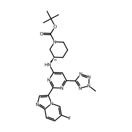 Cn1nnc(-c2cc(N[C@@H]3CCCN(C(=O)OC(C)(C)C)C3)nc(-c3cnc4ccc(F)cn34)n2)n1